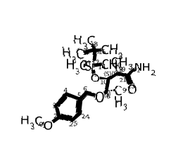 COc1ccc(CO[C@@H](C)[C@@H](O[Si](C)(C)C(C)(C)C)[C@H](C)C(N)=O)cc1